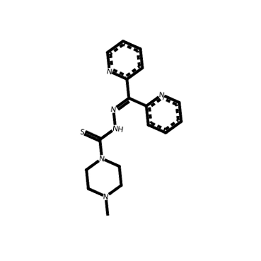 CN1CCN(C(=S)NN=C(c2ccccn2)c2ccccn2)CC1